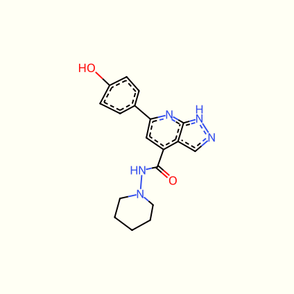 O=C(NN1CCCCC1)c1cc(-c2ccc(O)cc2)nc2[nH]ncc12